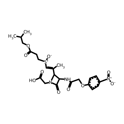 CC(=C[S+]([O-])CCC(=O)OCC(C)C)C1C(NC(=O)COc2ccc([N+](=O)[O-])cc2)C(=O)N1CC(=O)O